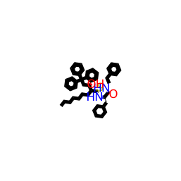 CCCCCCCC(C(=S)N[C@@H](CC1CCCCC1)C(=O)NCCc1ccccc1)C(O)CC(c1ccccc1)(c1ccccc1)c1ccccc1